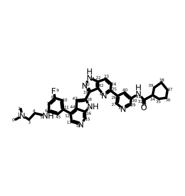 CN(C)CCNc1cc(F)cc(-c2cncc3[nH]c(-c4n[nH]c5ccc(-c6cncc(NC(=O)C7CCCCC7)c6)nc45)cc23)c1